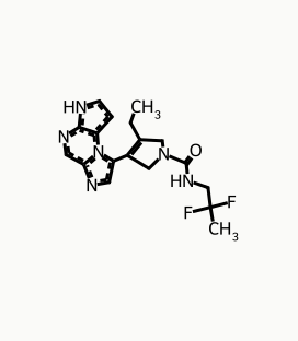 CCC1=C(c2cnc3cnc4[nH]ccc4n23)CN(C(=O)NCC(C)(F)F)C1